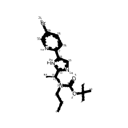 CCCN(C(=O)OC(C)(C)C)[C@@H](C)c1ncc(-c2ccc(Br)cn2)[nH]1